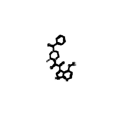 CCOc1ccnc2[nH]cc(C(=O)C(=O)N3CCN(C(=O)c4ccccc4)C[C@H]3C)c12